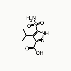 CC(C)c1c(C(=O)O)n[nH]c1S(N)(=O)=O